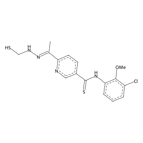 COc1c(Cl)cccc1NC(=S)c1ccc(C(C)=NNCS)nc1